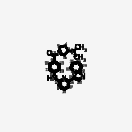 CN(C)C1CCN(C(=O)c2ccc(Nc3nccc(-c4cnc5ccccn45)n3)cc2)C1